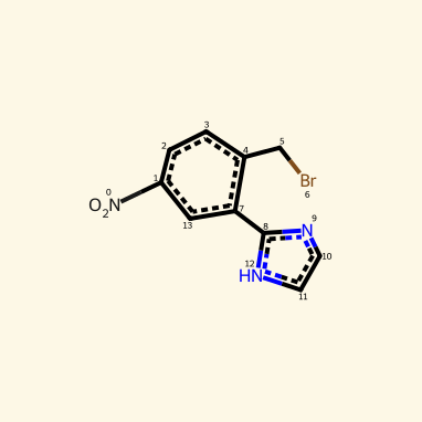 O=[N+]([O-])c1ccc(CBr)c(-c2ncc[nH]2)c1